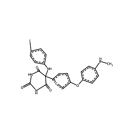 CBc1ccc(Oc2ccc(C3(Nc4ccc(I)cc4)C(=O)NC(=O)NC3=O)cc2)cc1